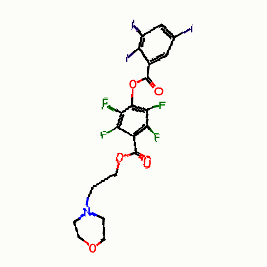 O=C(Oc1c(F)c(F)c(C(=O)OCCN2CCOCC2)c(F)c1F)c1cc(I)cc(I)c1I